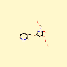 COCOc1cc(SCc2cccnc2)cn(COC)c1=O